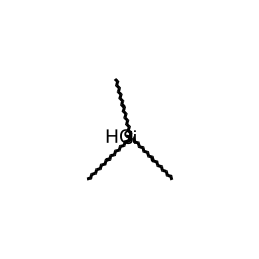 CCCCCCCCC=CCCCCCCCC[Si](O)(CCCCCCCCC=CCCCCCCCC)CCCCCCCCC=CCCCCCCCC